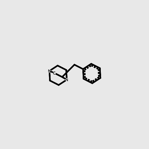 c1ccc(CC2CN3CCN2CC3)cc1